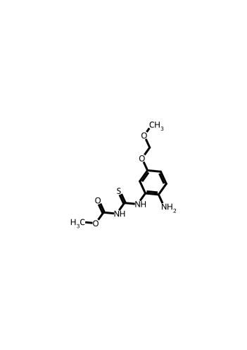 COCOc1ccc(N)c(NC(=S)NC(=O)OC)c1